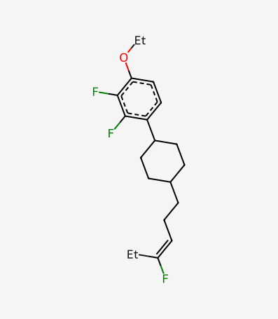 CCOc1ccc(C2CCC(CC/C=C(/F)CC)CC2)c(F)c1F